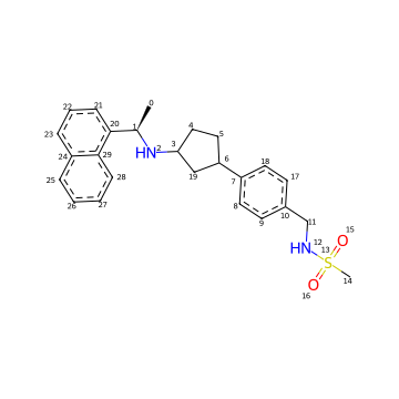 C[C@@H](NC1CCC(c2ccc(CNS(C)(=O)=O)cc2)C1)c1cccc2ccccc12